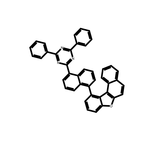 c1ccc(-c2nc(-c3ccccc3)nc(-c3cccc4c(-c5cccc6oc7ccc8ccccc8c7c56)cccc34)n2)cc1